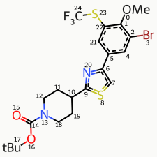 COc1c(Br)cc(-c2csc(C3CCN(C(=O)OC(C)(C)C)CC3)n2)cc1SC(F)(F)F